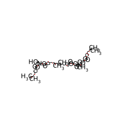 CC(C)=CCCC1=CCC(C(=O)OCCOC(=O)CN(C)CC(=O)OCCOC(=O)C2CC=C(CC/C=C(\C)CC/C(C)=C/CCC3=CCC(C(=O)OCCN(CCO)CCOC(=O)C4CC=C(CCC=C(C)C)CC4)CC3)CC2)CC1